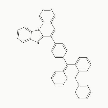 C1=CCCC(c2c3ccccc3c(-c3ccc(-c4cc5ccccc5n5c4nc4ccccc45)cc3)c3ccccc23)=C1